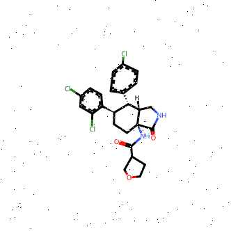 O=C(N[C@@]12CC[C@@H](c3ccc(Cl)cc3Cl)[C@H](c3ccc(Cl)cc3)[C@@H]1CNC2=O)C1CCOC1